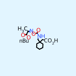 CCCCOC(=O)C(C)=NOC(=O)NCC1(CC(=O)O)CCCCC1